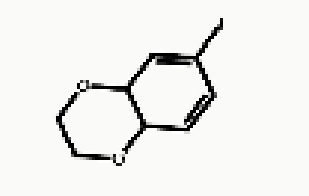 IC1=CC2OCCOC2C=C1